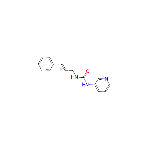 O=C(NC/C=C/c1ccccc1)Nc1cccnc1